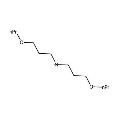 CCCOCCC[N]CCCOCCC